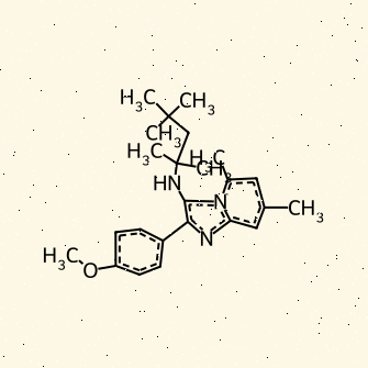 COc1ccc(-c2nc3cc(C)cc(C)n3c2NC(C)(C)CC(C)(C)C)cc1